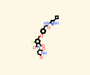 O=C1CCC(N2C(=O)c3cc(COc4ccc(CC(=O)Nc5cc(C6CCC6)[nH]n5)cc4)cc(F)c3C2=O)C(=O)N1